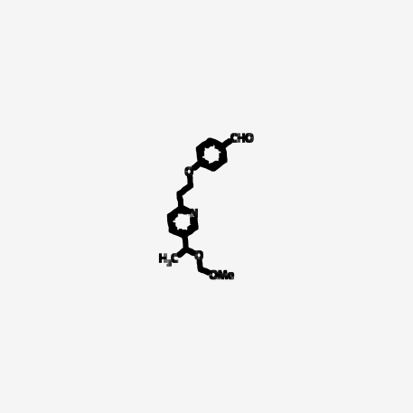 COCOC(C)c1ccc(CCOc2ccc(C=O)cc2)nc1